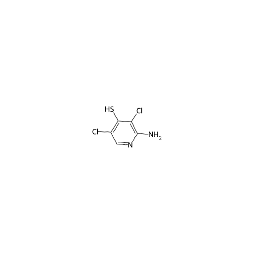 Nc1ncc(Cl)c(S)c1Cl